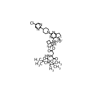 [2H]C([2H])(OC(=O)C[C@H](NC(=O)OC(C)(C)C)C(=O)OC(C)(C)C)C1(Nc2nc(N3CCC(c4ncc(Cl)cn4)CC3)nc3c2[S@+]([O-])CC3)CCC1